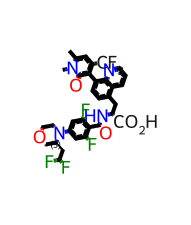 Cc1cc(C(F)(F)F)c(-c2ccc(CC(NC(=O)c3c(F)cc(N4CCOC[C@@H]4CC(F)F)cc3F)C(=O)O)c3cccnc23)c(=O)n1C